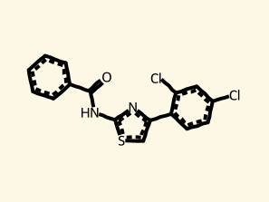 O=C(Nc1nc(-c2ccc(Cl)cc2Cl)cs1)c1ccccc1